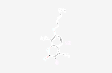 CNCCCOc1ccc2c(C)c(Cl)c(=O)oc2c1C.Cl